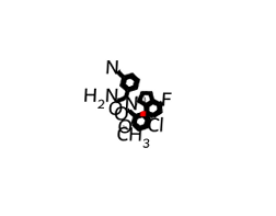 COc1ccccc1C(=O)N(C(C(N)=O)c1cccc(C#N)c1)[C@@H]1CCc2c(F)cc(Cl)cc21